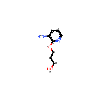 Nc1cccnc1OCCCO